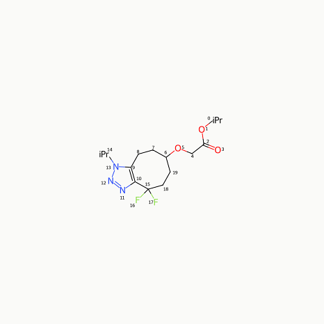 CC(C)OC(=O)COC1CCc2c(nnn2C(C)C)C(F)(F)CC1